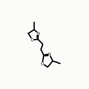 CC1COC(CCC2=NC(C)CO2)=N1